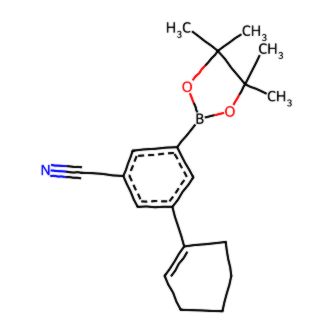 CC1(C)OB(c2cc(C#N)cc(C3=CCCCC3)c2)OC1(C)C